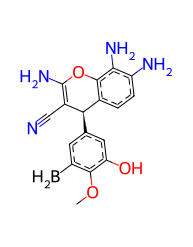 Bc1cc([C@H]2C(C#N)=C(N)Oc3c2ccc(N)c3N)cc(O)c1OC